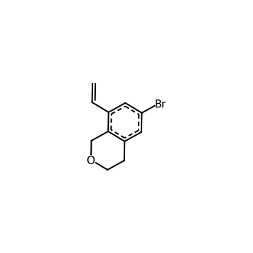 C=Cc1cc(Br)cc2c1COCC2